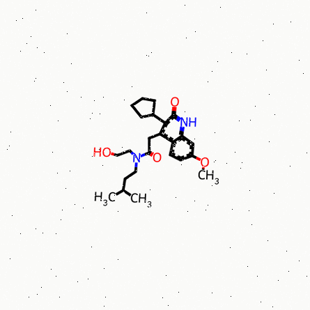 COc1ccc2c(CC(=O)N(CCO)CCC(C)C)c(C3CCCC3)c(=O)[nH]c2c1